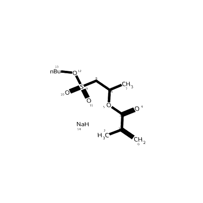 C=C(C)C(=O)OC(C)CS(=O)(=O)OCCCC.[NaH]